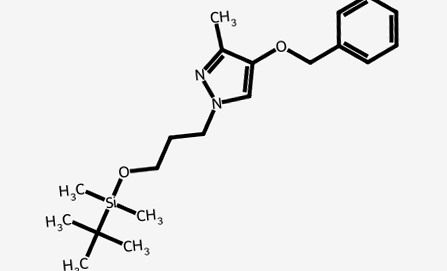 Cc1nn(CCCO[Si](C)(C)C(C)(C)C)cc1OCc1ccccc1